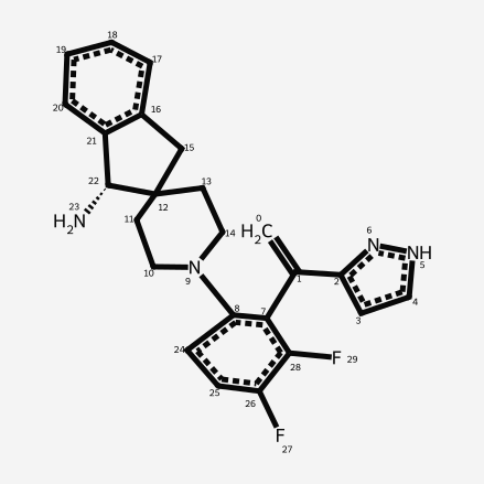 C=C(c1cc[nH]n1)c1c(N2CCC3(CC2)Cc2ccccc2[C@H]3N)ccc(F)c1F